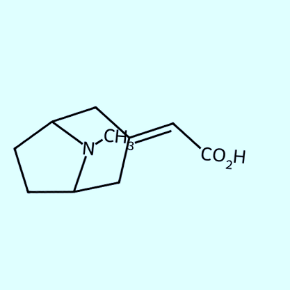 CN1C2CCC1CC(=CC(=O)O)C2